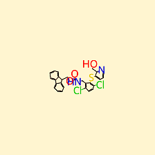 O=C(NCc1c(Cl)ccc(Cl)c1Sc1cccnc1CO)OCC1c2ccccc2-c2ccccc21